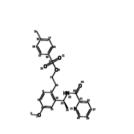 COc1ccc(CCOS(=O)(=O)c2ccc(C)cc2)c([C@H](C)NC(=O)c2ccccn2)c1